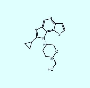 OC[C@H]1CC[C@H](n2c(C3CC3)nc3cnc4ccsc4c32)CO1